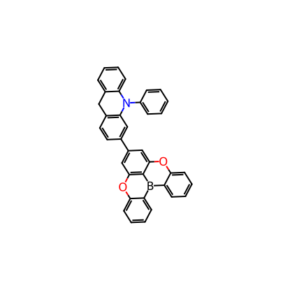 c1ccc(N2c3ccccc3Cc3ccc(-c4cc5c6c(c4)Oc4ccccc4B6c4ccccc4O5)cc32)cc1